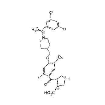 C[C@@H](c1cc(Cl)cc(Cl)c1)N1CCC(COc2cc(F)c(C(=O)C3C[C@H](F)C[C@H]3C(=O)O)cc2C2CC2)CC1